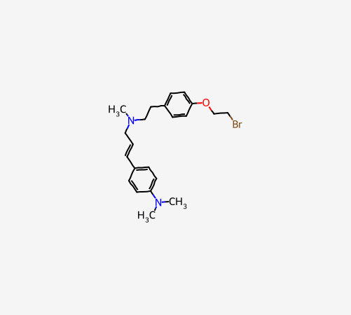 CN(CC=Cc1ccc(N(C)C)cc1)CCc1ccc(OCCBr)cc1